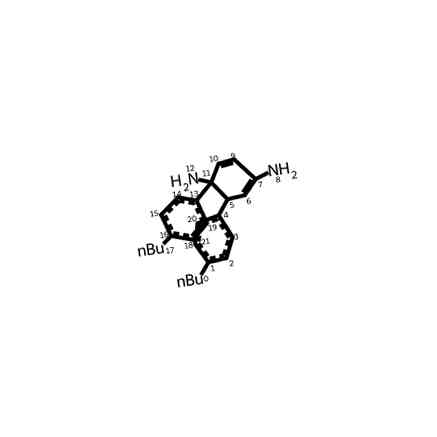 CCCCc1ccc(C2C=C(N)C=CC2(N)c2ccc(CCCC)cc2)cc1